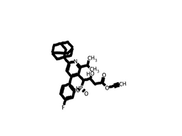 C#COC(=O)CC(O)C(c1c(-c2ccc(F)cc2)cc(C23CC4CC(CC(C4)C2)C3)nc1C(C)C)[PH](=O)O